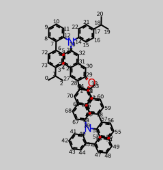 CC(C)c1ccc(-c2ccccc2N(c2ccc(C(C)C)cc2)c2ccc3cc4c(cc3c2)oc2cc3cc(N(c5ccccc5-c5ccccc5)c5ccccc5-c5ccc(C(C)C)cc5)ccc3cc24)cc1